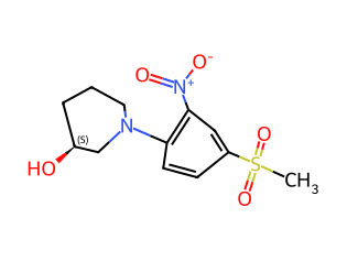 CS(=O)(=O)c1ccc(N2CCC[C@H](O)C2)c([N+](=O)[O-])c1